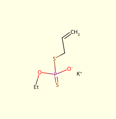 C=CCSP([O-])(=S)OCC.[K+]